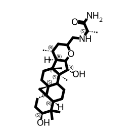 C[C@H](NCC1C[C@@H](C)[C@H]2C(O1)[C@H](O)[C@@]1(C)C3CC[C@H]4C(C)(C)[C@@H](O)CC[C@@]45C[C@@]35CC[C@]21C)C(N)=O